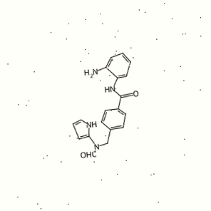 Nc1ccccc1NC(=O)c1ccc(CN(C=O)c2ccc[nH]2)cc1